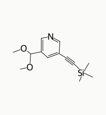 COC(OC)c1cncc(C#C[Si](C)(C)C)c1